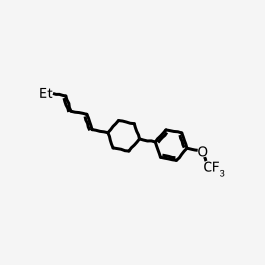 CCC=C/C=C/C1CCC(c2ccc(OC(F)(F)F)cc2)CC1